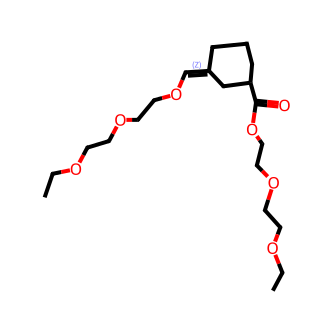 CCOCCOCCO/C=C1/CCCC(C(=O)OCCOCCOCC)C1